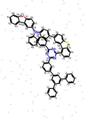 c1ccc(-c2cc(-c3ccccc3)cc(-c3cccc(-c4nc(-c5ccccc5)nc(-c5cccc6sc7ccc(-c8ccc9c(c8)c8ccccc8n9-c8ccc9oc%10ccccc%10c9c8)cc7c56)n4)c3)c2)cc1